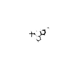 COc1ccc(C2CC=NN2C(=O)C(C)(C)C)cn1